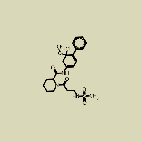 CS(=O)(=O)NCCC(=O)N1CCCCC1C(=O)NC1=CC=C(c2ccccc2)C(Cl)(OC(F)(F)F)C1